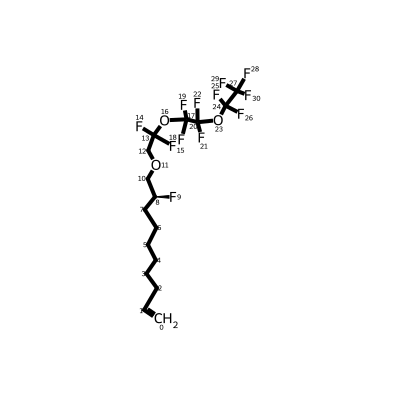 C=CCCCCCC[C@H](F)COCC(F)(F)OC(F)(F)C(F)(F)OC(F)(F)C(F)(F)F